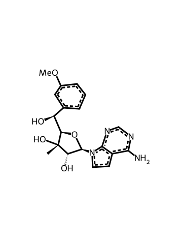 COc1cccc([C@H](O)[C@H]2O[C@@H](n3ccc4c(N)ncnc43)[C@H](O)[C@]2(C)O)c1